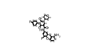 Nc1nccc(Oc2ccc(NC(=O)c3cn(C4CCOCC4)c(=O)n(-c4ccc(F)cc4)c3=O)cc2F)c1I